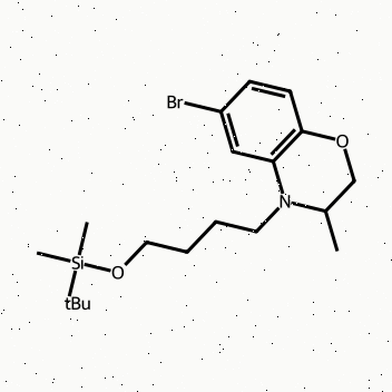 CC1COc2ccc(Br)cc2N1CCCCO[Si](C)(C)C(C)(C)C